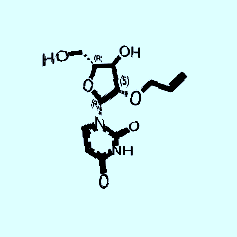 C=CCO[C@H]1C(O)[C@@H](CO)O[C@H]1n1ccc(=O)[nH]c1=O